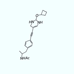 CC(=O)NC(C)Cc1ccc(C#CC2=CNC(OC3CCC3)NC2)cc1